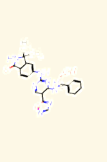 CC1(C)NC(=O)c2ccc(Nc3ncc(-c4ncno4)c(N[C@H](CO)c4ccccc4)n3)cc21